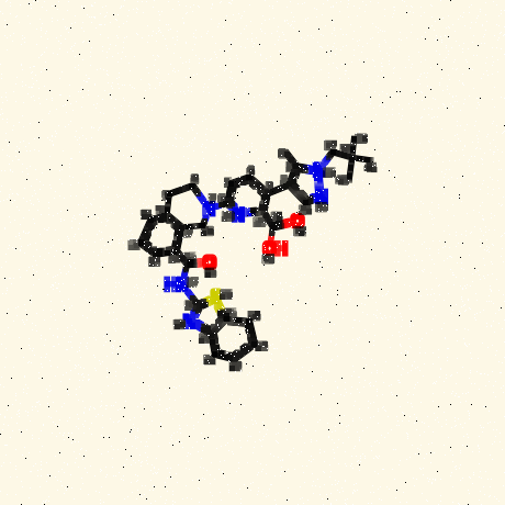 Cc1c(-c2ccc(N3CCc4cccc(C(=O)Nc5nc6ccccc6s5)c4C3)nc2C(=O)O)cnn1CC(C)(C)C